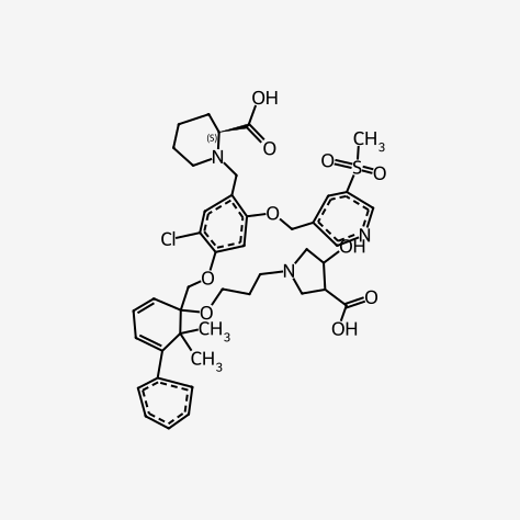 CC1(C)C(c2ccccc2)=CC=CC1(COc1cc(OCc2cncc(S(C)(=O)=O)c2)c(CN2CCCC[C@H]2C(=O)O)cc1Cl)OCCCN1CC(O)C(C(=O)O)C1